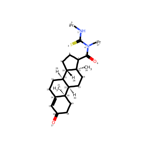 CC(C)NC(=S)N(C(=O)C1CC[C@H]2[C@@H]3CCC4=CC(=O)CC[C@]4(C)[C@@H]3CC[C@]12C)C(C)C